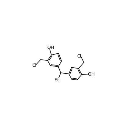 CCC(c1ccc(O)c(CCl)c1)c1ccc(O)c(CCl)c1